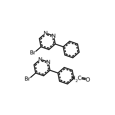 Brc1cnnc(-c2ccccc2)c1.Brc1cnnc(-c2ccccc2)c1.C=O